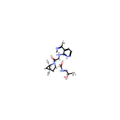 C/N=C(/C(C)=O)c1cccnc1NCC(=O)N1[C@@H]2C[C@@H]2C[C@H]1C(=O)NCC(O)C(F)(F)F